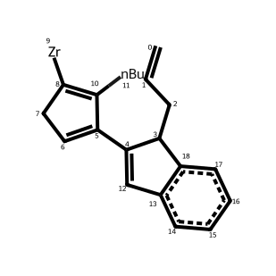 C=CCC1C(C2=CC[C]([Zr])=C2CCCC)=Cc2ccccc21